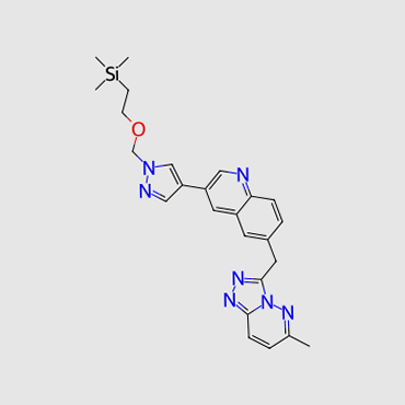 Cc1ccc2nnc(Cc3ccc4ncc(-c5cnn(COCC[Si](C)(C)C)c5)cc4c3)n2n1